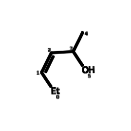 CC/C=C\C(C)O